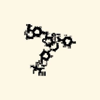 Cc1ccc(N2CCN(C(=O)c3ccccc3)C(C(O)C(=O)Nc3ccc4c(N)nccc4c3)C2=O)cc1.O=C(O)C(F)(F)F